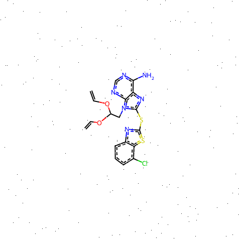 C=COC(Cn1c(Sc2nc3cccc(Cl)c3s2)nc2c(N)ncnc21)OC=C